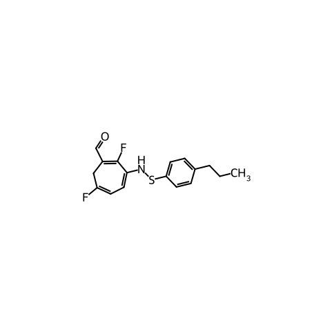 CCCc1ccc(SNC2=CC=C(F)CC(C=O)=C2F)cc1